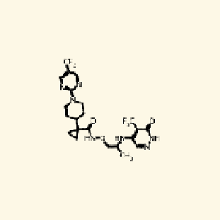 CC(CONC(=O)C1(C2CCN(c3ncc(C(F)(F)F)cn3)CC2)CC1)Nc1cn[nH]c(=O)c1C(F)(F)F